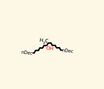 CCCCCCCCCCCCCCCC[C](C)C(O)CCCCCCCCCCCCCCCC